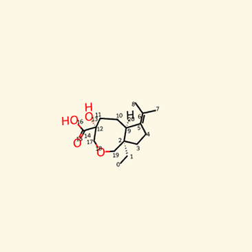 CC[C@@]12CCC(=C(C)C)[C@@H]1CC[C@](O)(C(=O)O)COC2